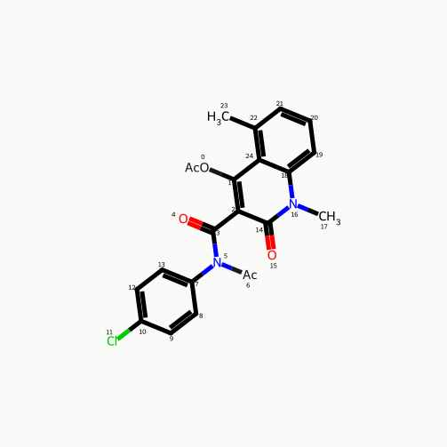 CC(=O)Oc1c(C(=O)N(C(C)=O)c2ccc(Cl)cc2)c(=O)n(C)c2cccc(C)c12